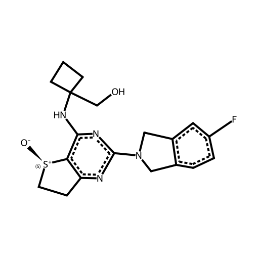 [O-][S@+]1CCc2nc(N3Cc4ccc(F)cc4C3)nc(NC3(CO)CCC3)c21